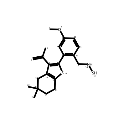 C=C(C)c1c(-c2cc(OC)ccc2CNS)sc2c1CC(C)(C)CC2